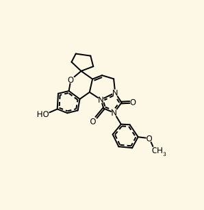 COc1cccc(-n2c(=O)n3n(c2=O)C2C(=CC3)C3(CCCC3)Oc3cc(O)ccc32)c1